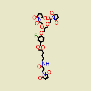 O=C(CCN1C(=O)C=CC1=O)NCCCCC1COC(c2ccc(OCC(COCC(=O)N3C(=O)CCC3=O)OCC(=O)N3C(=O)CCC3=O)c(F)c2)O1